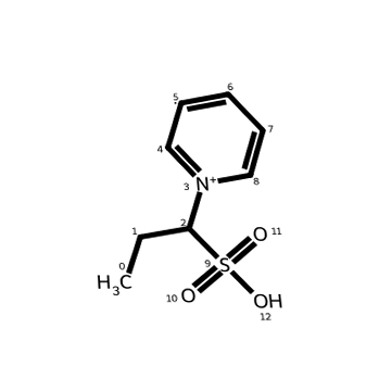 CCC([n+]1c[c]ccc1)S(=O)(=O)O